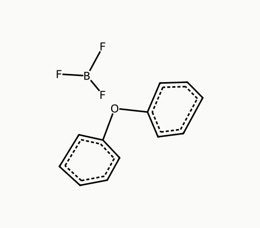 FB(F)F.c1ccc(Oc2ccccc2)cc1